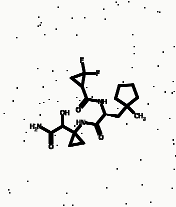 CC1(C[C@H](NC(=O)C2CC2(F)F)C(=O)NC2(C(O)C(N)=O)CC2)CCCC1